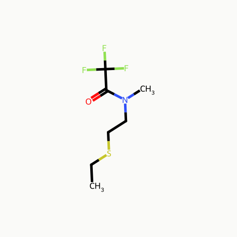 CCSCCN(C)C(=O)C(F)(F)F